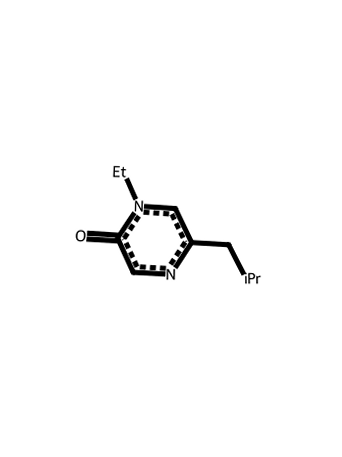 CCn1cc(CC(C)C)ncc1=O